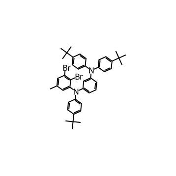 Cc1cc(Br)c(Br)c(N(c2ccc(C(C)(C)C)cc2)c2cccc(N(c3ccc(C(C)(C)C)cc3)c3ccc(C(C)(C)C)cc3)c2)c1